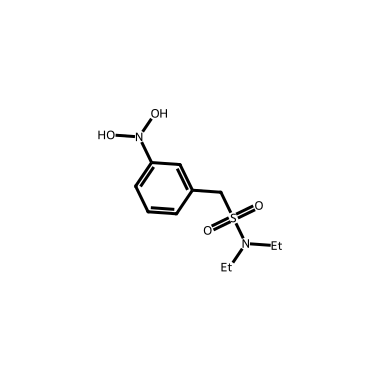 CCN(CC)S(=O)(=O)Cc1cccc(N(O)O)c1